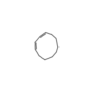 [CH]1CCC=CC=CCCCC1